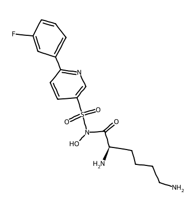 NCCCC[C@@H](N)C(=O)N(O)S(=O)(=O)c1ccc(-c2cccc(F)c2)nc1